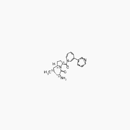 C[C@@H]1C[C@H]2CC[C@@H](C(=O)N3C=CC=CC(c4cccnc4)=C3)N2C(=O)[C@@H](N)C1